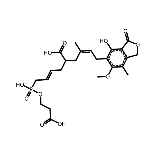 COc1c(C)c2c(c(O)c1CC=C(C)CC(CC=CCP(=O)(O)OCCC(=O)O)C(=O)O)C(=O)OC2